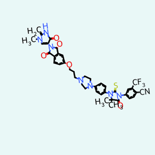 C=C1NC(=O)C(N2C(=O)c3ccc(OCCCN4CCN(c5ccc(N6C(=S)N(c7ccc(C#N)c(C(F)(F)F)c7)C(=O)C6(C)C)cc5)CC4)cc3C2=O)=CN1C